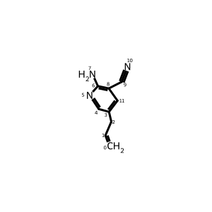 C=CCc1cnc(N)c(C#N)c1